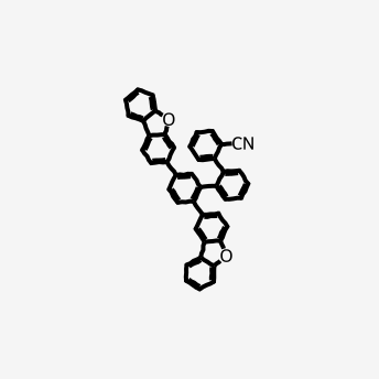 N#Cc1ccccc1-c1ccccc1-c1cc(-c2ccc3c(c2)oc2ccccc23)ccc1-c1ccc2oc3ccccc3c2c1